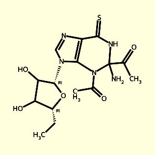 CC[C@H]1O[C@@H](n2cnc3c2N(C(C)=O)C(N)(C(C)=O)NC3=S)C(O)C1O